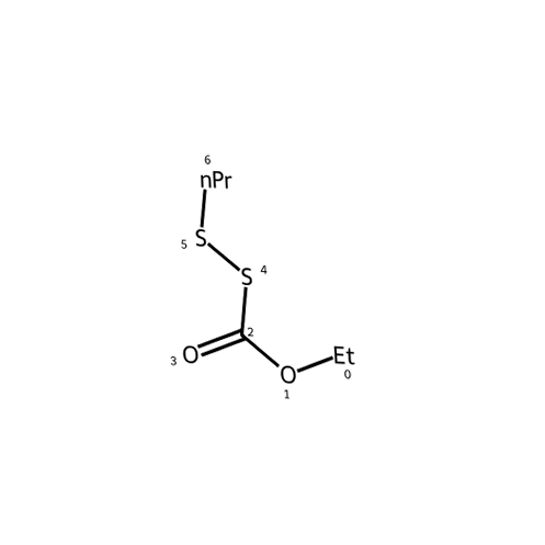 [CH2]COC(=O)SSCCC